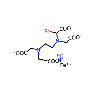 O=C([O-])CN(CCN(CC(=O)[O-])C(Br)C(=O)[O-])CC(=O)[O-].[Fe+3].[NH4+]